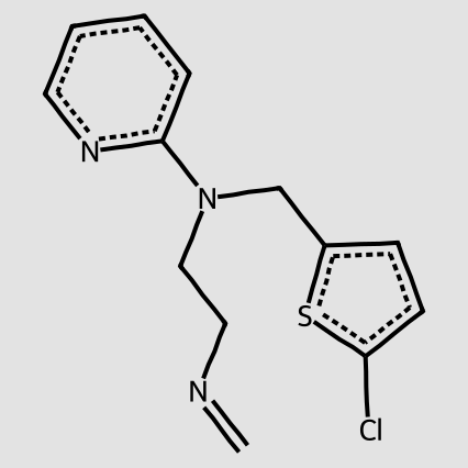 C=NCCN(Cc1ccc(Cl)s1)c1ccccn1